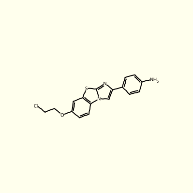 Nc1ccc(-c2cn3c(n2)sc2cc(OCCCl)ccc23)cc1